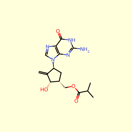 C=C1[C@@H](O)[C@@H](COC(=O)C(C)C)C[C@@H]1n1cnc2c(=O)[nH]c(N)nc21